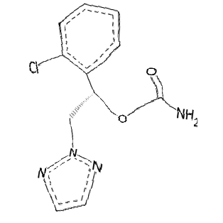 NC(=O)O[C@H](Cn1nccn1)c1ccccc1Cl